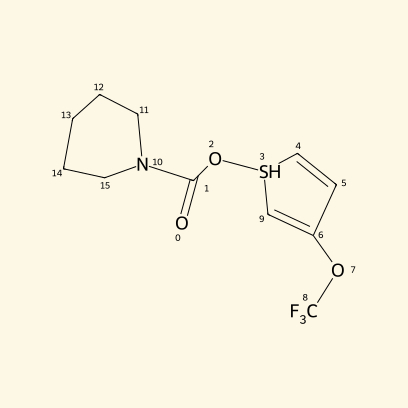 O=C(O[SH]1C=CC(OC(F)(F)F)=C1)N1CCCCC1